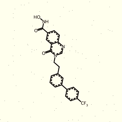 O=C(NO)c1ccc2ncn(CCc3cccc(-c4ccc(C(F)(F)F)cc4)c3)c(=O)c2c1